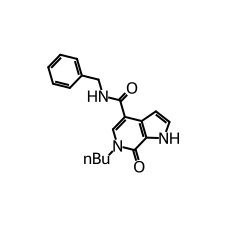 CCCCn1cc(C(=O)NCc2ccccc2)c2cc[nH]c2c1=O